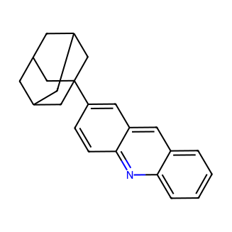 c1ccc2nc3ccc(C45CC6CC(CC(C6)C4)C5)cc3cc2c1